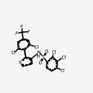 O=S(=O)(Nc1ccsc1-c1c(Cl)cc(C(F)(F)F)cc1Cl)c1ccc(Cl)c(Cl)c1Cl